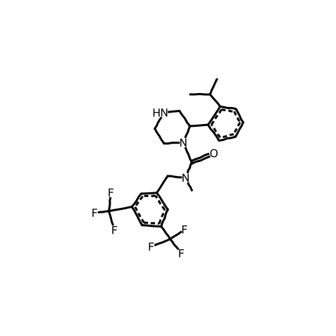 CC(C)c1ccccc1C1CNCCN1C(=O)N(C)Cc1cc(C(F)(F)F)cc(C(F)(F)F)c1